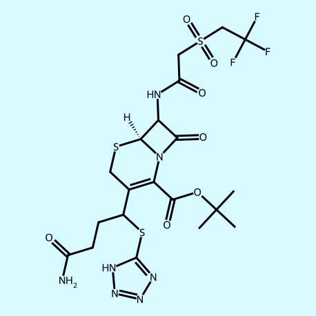 CC(C)(C)OC(=O)C1=C(C(CCC(N)=O)Sc2nnn[nH]2)CS[C@H]2C(NC(=O)CS(=O)(=O)CC(F)(F)F)C(=O)N12